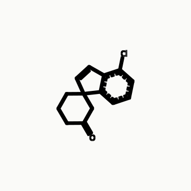 O=C1CCCC2(C=Cc3c(Cl)cccc32)C1